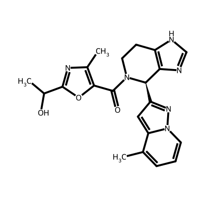 Cc1nc(C(C)O)oc1C(=O)N1CCc2[nH]cnc2[C@H]1c1cc2c(C)cccn2n1